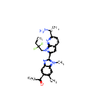 C=CC(F)(F)Cn1c(-c2nc3cc(C(=O)OC)c(C)cc3n2C)cc2ccc([C@@H](C)N)nc21